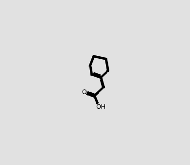 O=C(O)CC1=CCCCC1